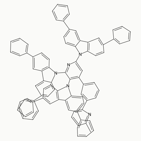 Cc1cccc(-c2cccc(-c3cc(-n4c5ccc(-c6ccccc6)cc5c5cc(-c6ccccc6)ccc54)nc(-n4c5ccc(-c6ccccc6)cc5c5cc(-c6ccccc6)ccc54)c3-n3c4ccc(-c5ccccc5)cc4c4cc(-c5ccccc5)ccc43)c2)n1